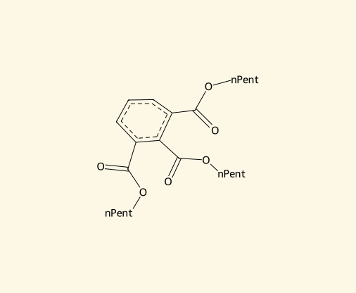 CCCCCOC(=O)c1cccc(C(=O)OCCCCC)c1C(=O)OCCCCC